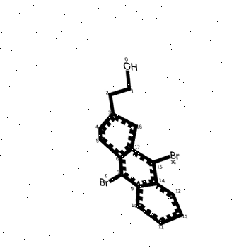 OCCc1ccc2c(Br)c3ccccc3c(Br)c2c1